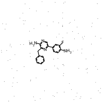 Nc1ccc(-c2cnc(N)c(Cc3ccccc3)n2)cc1F